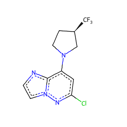 FC(F)(F)[C@@H]1CCN(c2cc(Cl)nn3ccnc23)C1